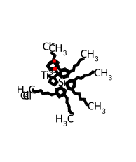 CCCCCCc1cc(CCCCCC)cc([Si](C2=CC[C]([Ti+3])=C2Cc2ccccc2)(c2cc(CCCCCC)cc(CCCCCC)c2)c2cc(CCCCCC)cc(CCCCCC)c2)c1.[Cl-].[Cl-].[Cl-]